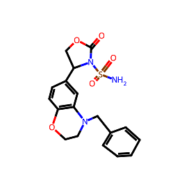 NS(=O)(=O)N1C(=O)OCC1c1ccc2c(c1)N(Cc1ccccc1)CCO2